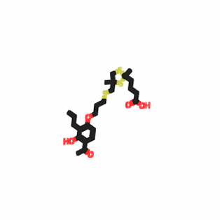 CCCc1c(OCCCSCC2(C)CSC(C)(CCCC(=O)O)S2)ccc(C(C)=O)c1O